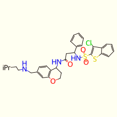 CC(C)CCNCc1ccc2c(c1)OCCC2NC(=O)CC(NS(=O)(=O)c1sc2ccccc2c1Cl)c1ccccc1